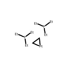 CCP(CC)CC.CCP(CC)CC.[CH2]1[CH2][Pt]1